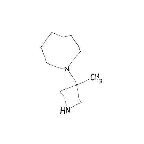 CC1(N2CCCCC2)CNC1